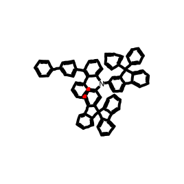 c1ccc(-c2ccc(-c3cccc(N(c4ccc5c(c4)C(c4ccccc4)(c4ccccc4)c4ccccc4-5)c4ccc5c(c4)C4(c6ccccc6-c6ccccc64)c4ccccc4-5)c3-c3ccccc3)cc2)cc1